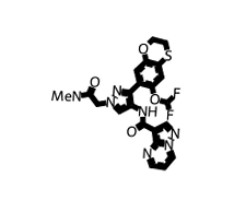 CNC(=O)Cn1cc(NC(=O)c2cnn3cccnc23)c(-c2cc3c(cc2OC(F)F)SCCO3)n1